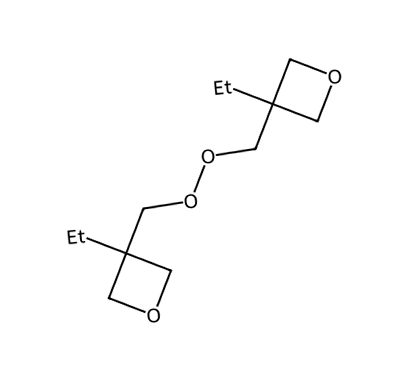 CCC1(COOCC2(CC)COC2)COC1